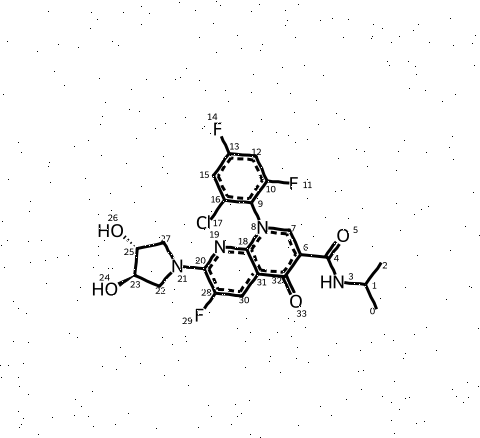 CC(C)NC(=O)c1cn(-c2c(F)cc(F)cc2Cl)c2nc(N3C[C@@H](O)[C@H](O)C3)c(F)cc2c1=O